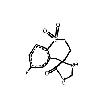 O=C1NCNC12CCS(=O)(=O)c1ccc(F)cc12